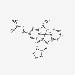 CC(N)COc1ccc2c(c1)OCC21C(=O)N(C[C@H]2CCCO2)c2ccccc21.Cl